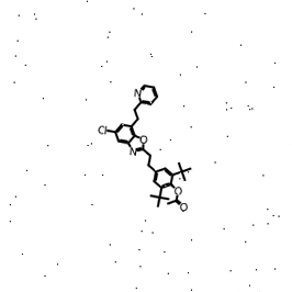 CC(=O)Oc1c(C(C)(C)C)cc(CCc2nc3cc(Cl)cc(CCc4ccccn4)c3o2)cc1C(C)(C)C